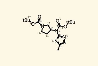 Cc1cnc(N(C(=O)OC(C)(C)C)C2CCN(C(=O)OC(C)(C)C)C2)s1